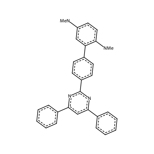 CNc1ccc(NC)c(-c2ccc(-c3nc(-c4ccccc4)cc(-c4ccccc4)n3)cc2)c1